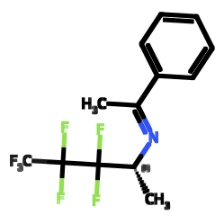 CC(=N[C@H](C)C(F)(F)C(F)(F)C(F)(F)F)c1ccccc1